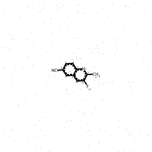 Cc1nc2ccc(C#N)cc2cc1F